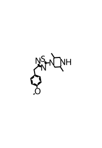 COc1ccc(Cc2nsc(N3CC(C)NCC3C)n2)cc1